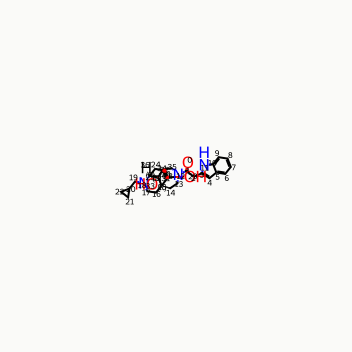 O=C(Cc1cc2ccccc2[nH]1)N1CC[C@]23CCN(CC4CC4)[C@H](Cc4ccc(O)cc42)[C@]3(O)CC1